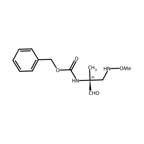 CONC[C@](C)(C=O)NC(=O)OCc1ccccc1